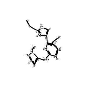 CCc1nc(-c2nc(Nc3ccnn3C)ncc2C)co1